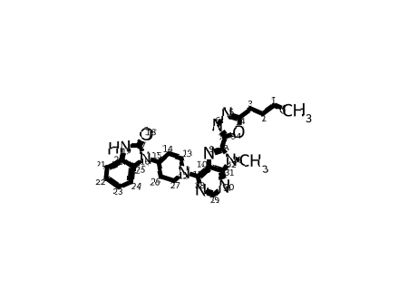 CCCCc1nnc(-c2nc3c(N4CCC(n5c(=O)[nH]c6ccccc65)CC4)ncnc3n2C)o1